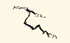 CCC/C=C\C(C)=N/O